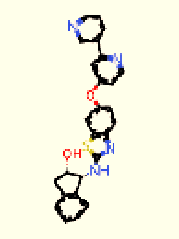 O[C@H]1Cc2ccccc2[C@H]1Nc1nc2ccc(Oc3ccnc(-c4cccnc4)c3)cc2s1